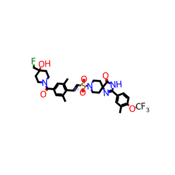 Cc1cc(C2=NC3(CCN(S(=O)(=O)/C=C/c4c(C)cc(C(=O)N5CCC(O)(CF)CC5)cc4C)CC3)C(=O)N2)ccc1OC(F)(F)F